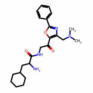 CN(C)Cc1nc(-c2ccccc2)oc1C(=O)CNC(=O)C(N)CC1CCCCC1